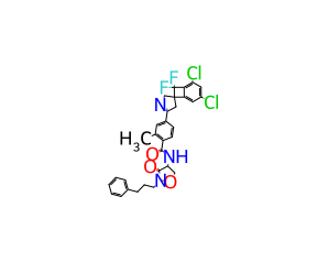 Cc1cc(C2=NCC3(C2)c2cc(Cl)cc(Cl)c2C3(F)F)ccc1C(=O)N[C@@H]1CON(CCCc2ccccc2)C1=O